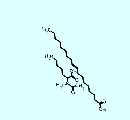 CC(=O)N(C)C(CCCCN)C(=O)O.CCCCCCCCC=CCCCCCCCC(=O)O